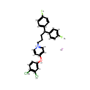 Fc1ccc(C(CCC[n+]2ccc(Oc3ccc(Cl)c(Cl)c3)cc2)c2ccc(F)cc2)cc1.[I-]